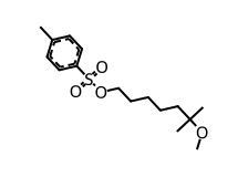 COC(C)(C)CCCCCOS(=O)(=O)c1ccc(C)cc1